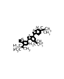 CC(C)(C)c1ccc2c(-c3cc(C(C)(C)C)cc4c(-c5ccc(C(C)(C)C)c6ccsc56)csc34)csc2c1